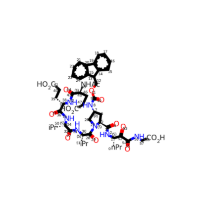 CCC[C@H](NC(=O)[C@@H]1C[C@@H](NC(=O)OCC2c3ccccc3-c3ccccc32)CN1C(=O)[C@@H](NC(=O)[C@@H](NC(=O)[C@H](CCC(=O)O)NC(=O)[C@H](CCC(=O)O)NC(C)=O)C(C)C)C(C)C)C(=O)C(=O)NCC(=O)O